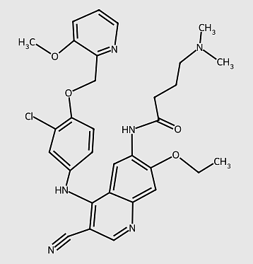 CCOc1cc2ncc(C#N)c(Nc3ccc(OCc4ncccc4OC)c(Cl)c3)c2cc1NC(=O)CCCN(C)C